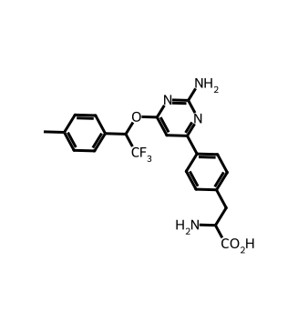 Cc1ccc(C(Oc2cc(-c3ccc(CC(N)C(=O)O)cc3)nc(N)n2)C(F)(F)F)cc1